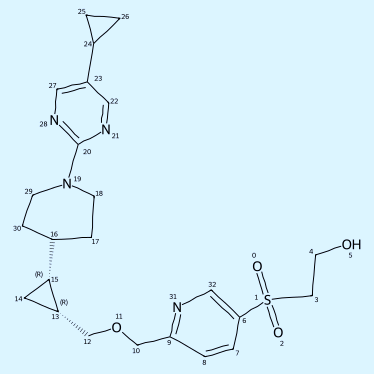 O=S(=O)(CCO)c1ccc(COC[C@@H]2C[C@@H]2C2CCN(c3ncc(C4CC4)cn3)CC2)nc1